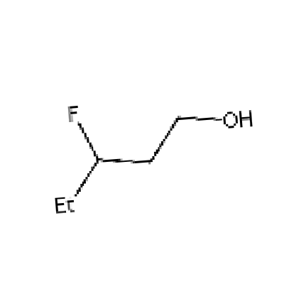 [CH2]CC(F)CCO